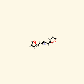 C(=C\CC1CCCO1)/CCC1CCCO1